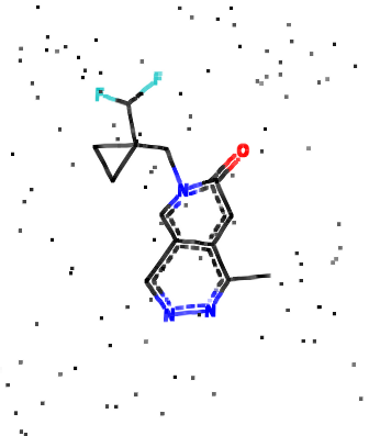 Cc1nncc2cn(CC3(C(F)F)CC3)c(=O)cc12